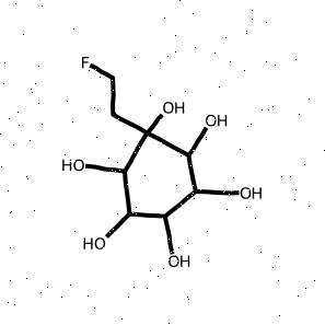 OC1C(O)C(O)C(O)(CCF)C(O)C1O